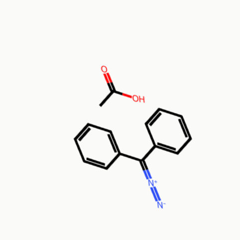 CC(=O)O.[N-]=[N+]=C(c1ccccc1)c1ccccc1